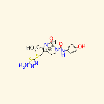 Nc1nnc(SCC2=C(C(=O)O)N3C(=O)[C@@H]4[C@H]3C2CCN4C(=O)Nc2ccc(O)cc2)s1